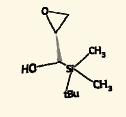 CC(C)(C)[Si](C)(C)C(O)[C@H]1CO1